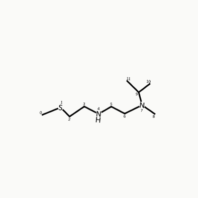 CSCCNCCN(C)C(C)C